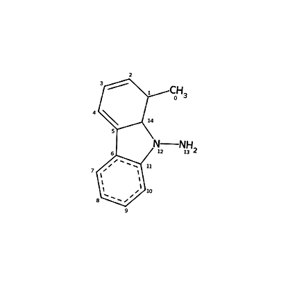 CC1C=CC=C2c3ccccc3N(N)C21